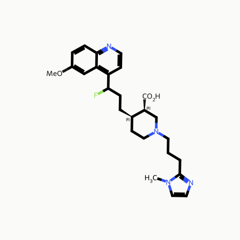 COc1ccc2nccc(C(F)CC[C@@H]3CCN(CCCc4nccn4C)C[C@@H]3C(=O)O)c2c1